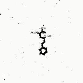 CNC(CC(C=O)CCc1ccccc1)C(C)C(C)(C)C